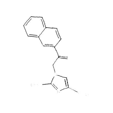 CCOC(=O)c1cn(CC(=O)c2ccc3ccccc3c2)c(C(=O)OCC)n1